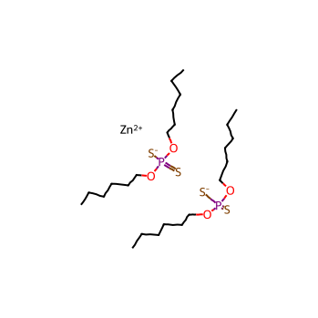 CCCCCCOP(=S)([S-])OCCCCCC.CCCCCCOP(=S)([S-])OCCCCCC.[Zn+2]